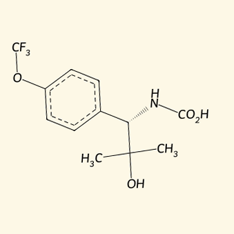 CC(C)(O)[C@@H](NC(=O)O)c1ccc(OC(F)(F)F)cc1